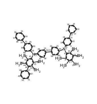 Bc1c(B)c(B)c(N(c2ccc(-c3ccccc3)cc2)c2ccc(-c3ccc(N(c4ccc(-c5ccccc5)cc4)c4c(B)c(B)c(-c5ccccc5)c(B)c4B)cc3)cc2)c(B)c1B